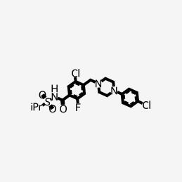 CC(C)S(=O)(=O)NC(=O)c1cc(Cl)c(CN2CCN(c3ccc(Cl)cc3)CC2)cc1F